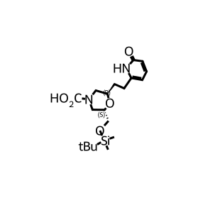 CC(C)(C)[Si](C)(C)OC[C@@H]1CN(C(=O)O)C[C@@H](CCc2cccc(=O)[nH]2)O1